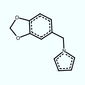 [c]1ccn(Cc2ccc3c(c2)OCO3)c1